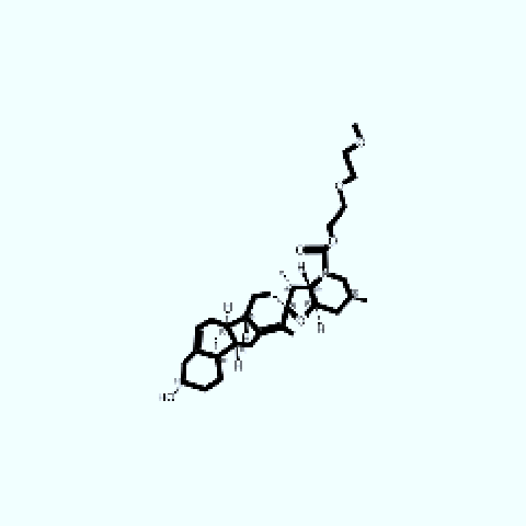 COCCOCCOC(=O)N1C[C@@H](C)C[C@H]2O[C@]3(CC[C@@H]4C(=C3C)C[C@H]3[C@H]4CC=C4C[C@@H](O)CC[C@@]43C)[C@H](C)[C@@H]21